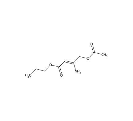 CCCOC(=O)C=C(N)COC(C)=O